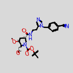 CO[C@H]1C[C@H](C(=O)NCCc2cncn2Cc2ccc(C#N)cc2)CN(C(=O)OC(C)(C)C)C1=C=O